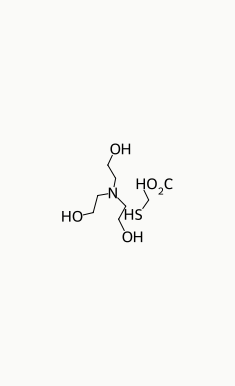 O=C(O)CS.OCCN(CCO)CCO